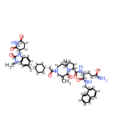 C[C@H]1CN(C(=O)C[C@H]2CC[C@@H](Cc3ccc4c(c3)n(C)c(=O)n4C3CCC(=O)NC3=O)CC2)CC[C@H]2CC[C@@H](C(=O)N[C@@H](CCC(N)=O)C(=O)NCc3cccc4ccccc34)N2C1=O